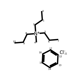 CCC[N+](C)(CCC)CCC.[Cl-].c1ccccc1